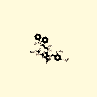 CCC[C@@H](CCO[Si](c1ccccc1)(c1ccccc1)C(C)(C)C)Nc1nc(NC(=O)OC)nc2c(I)nn(Cc3ccc(C(=O)O)cc3OC)c12